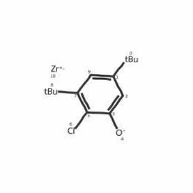 CC(C)(C)c1cc([O-])c(Cl)c(C(C)(C)C)c1.[Zr+]